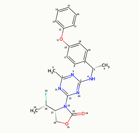 Cc1nc(N[C@@H](C)c2ccc(Oc3ccccc3)cc2)nc(N2C(=O)OC[C@@H]2[C@H](C)F)n1